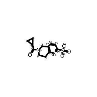 O=C(C1CC1)N1CCc2nc(S(=O)(=O)Cl)ccc2C1